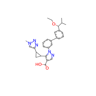 CCOC(c1cccc(-c2cccc(-n3ncc(C(=O)O)c3C3CC3c3cn(C)nn3)c2)c1)C(C)C